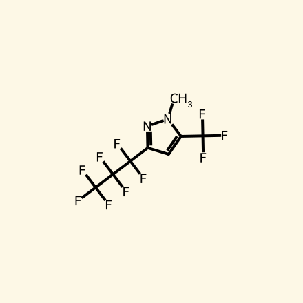 Cn1nc(C(F)(F)C(F)(F)C(F)(F)F)cc1C(F)(F)F